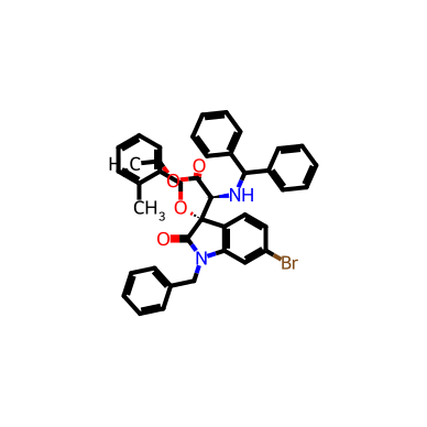 CCOC(=O)[C@@H](NC(c1ccccc1)c1ccccc1)[C@]1(OCc2ccccc2C)C(=O)N(Cc2ccccc2)c2cc(Br)ccc21